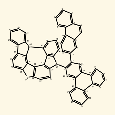 c1ccc2c(c1)ccc1cc(-c3nc4c5ccccc5c5ccccc5c4nc3-n3c4ccc5sc6ccc7c8ccccc8n8c9cccc3c9c4c5c6c78)ccc12